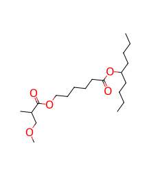 CCCCC(CCCC)OC(=O)CCCCCOC(=O)C(C)COC